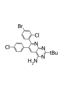 CC(C)(C)c1nc(N)c2cc(-c3ccc(Cl)cc3)c(-c3ccc(Br)cc3Cl)nc2n1